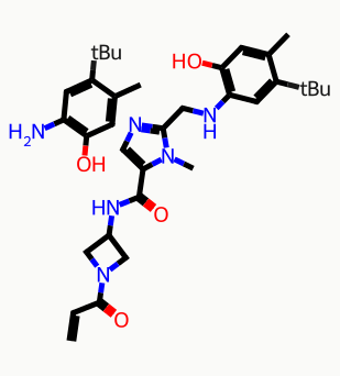 C=CC(=O)N1CC(NC(=O)c2cnc(CNc3cc(C(C)(C)C)c(C)cc3O)n2C)C1.Cc1cc(O)c(N)cc1C(C)(C)C